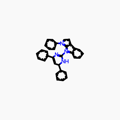 C1=C(c2ccccc2)N=C(n2c3ccccc3c3ccn(-c4ccccc4)c32)NC1c1ccccc1